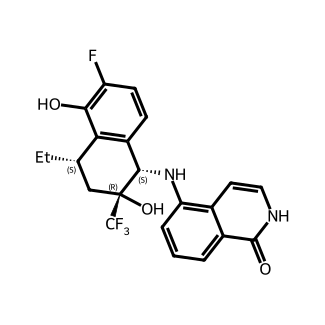 CC[C@H]1C[C@](O)(C(F)(F)F)[C@@H](Nc2cccc3c(=O)[nH]ccc23)c2ccc(F)c(O)c21